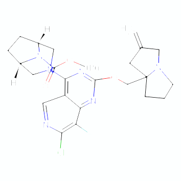 C=C1CN2CCCC2(COc2nc(N3C[C@H]4CC[C@@H](C3)N4C(=O)OC(C)(C)C)c3cnc(Cl)c(F)c3n2)C1